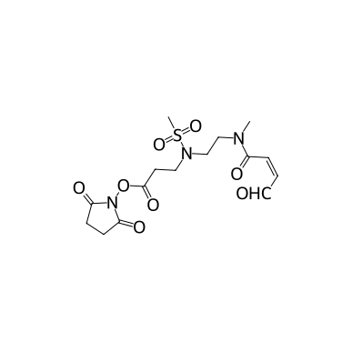 CN(CCN(CCC(=O)ON1C(=O)CCC1=O)S(C)(=O)=O)C(=O)/C=C\C=O